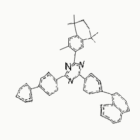 Cc1cc2c(cc1-c1nc(-c3ccc(-c4ccccc4)cc3)nc(-c3ccc(-c4cccc5ccccc45)cc3)n1)C(C)(C)CCC2(C)C